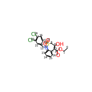 CCOC(=O)C1=C(O)CS(=O)(=O)N(Cc2ccc(Cl)c(Cl)c2)c2ccccc21